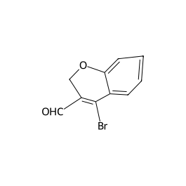 O=CC1=C(Br)c2ccccc2OC1